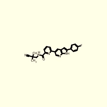 CC(C)(C#N)CNC(=O)c1cccc(-c2cnc3[nH]c(-c4ccc(F)cc4)cc3c2)n1